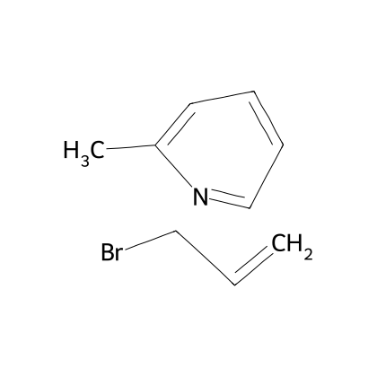 C=CCBr.Cc1ccccn1